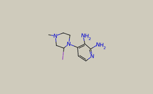 CN1CCN(c2ccnc(N)c2N)C(I)C1